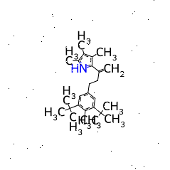 C=C(CCc1cc(C(C)(C)C)c(C)c(C(C)(C)C)c1)c1[nH]c(C)c(C)c1C